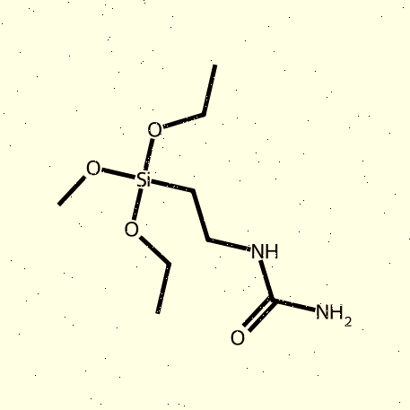 CCO[Si](CCNC(N)=O)(OC)OCC